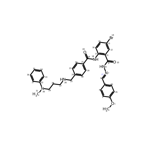 COc1ccc(/C=N/NC(=O)c2cc(Br)ccc2NC(=O)c2ccc(CNCCCN(C)c3ccccc3)cc2)cc1